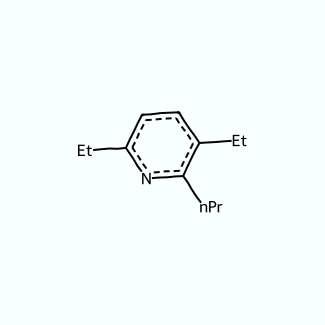 CCCc1nc(CC)ccc1CC